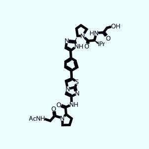 CC(=O)NCC(=O)N1CCCC1C(=O)Nc1cn2cc(-c3ccc(-c4cnc([C@@H]5CCCN5C(=O)[C@@H](NC(=O)CO)C(C)C)[nH]4)cc3)sc2n1